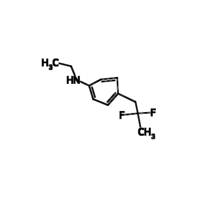 CCNc1ccc(CC(C)(F)F)cc1